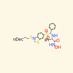 CCCCCCCCCCCCSN1CSc2cc(S(=O)(=O)C(N[C@@H](C(=O)NO)C(C)C)c3ccccc3)ccc21